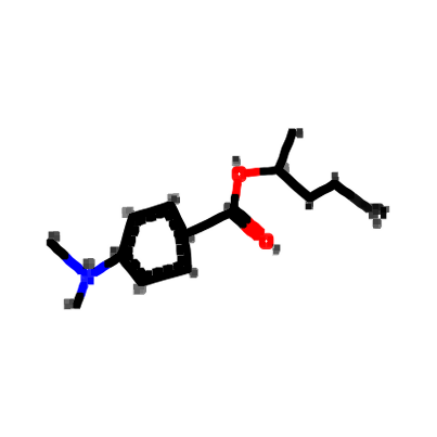 CC(C)CCC(C)OC(=O)c1ccc(N(C)C)cc1